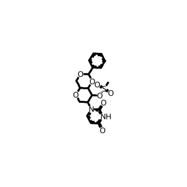 CS(=O)(=O)OC1C2OC(c3ccccc3)OCC2OCC1n1ccc(=O)[nH]c1=O